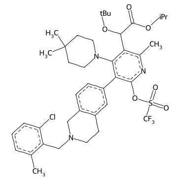 Cc1cccc(Cl)c1CN1CCc2cc(-c3c(OS(=O)(=O)C(F)(F)F)nc(C)c(C(OC(C)(C)C)C(=O)OC(C)C)c3N3CCC(C)(C)CC3)ccc2C1